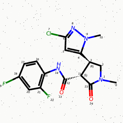 CN1C[C@H](c2cc(Cl)nn2C)[C@@H](C(=O)Nc2ccc(F)cc2F)C1=O